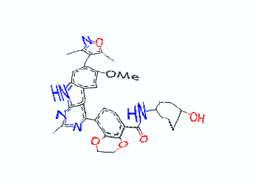 COc1cc2c(cc1-c1c(C)noc1C)[nH]c1nc(C)nc(-c3ccc(C(=O)NC4CCC(O)CC4)c4c3OCCO4)c12